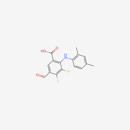 Cc1ccc(Nc2c(C(=O)O)cc(C=O)c(F)c2F)c(C)c1